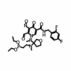 CCOP(CCN(C)C1(N(C)n2cc(C(=O)NCc3ccc(F)cc3F)c(=O)c(N=O)c2C=O)CCOC1)OCC